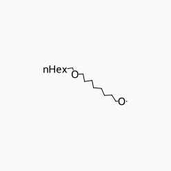 CCCCCCCOCCCCCCCC[O]